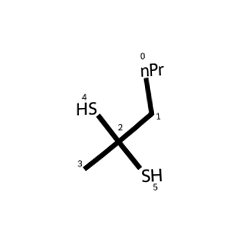 CCCCC(C)(S)S